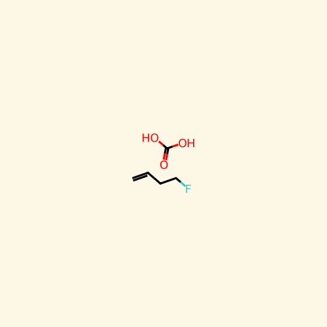 C=CCCF.O=C(O)O